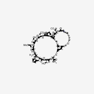 CSCC[C@@H]1NC(=O)[C@H](CO)NC(=O)[C@H](CC(=O)O)NC(=O)[C@@H]2CCCN2C(=O)[C@@H]2CSCc3cc(cc(c3)OCCCCCCO/N=C/C(=O)N[C@@H](CC(=O)O)C(=O)N2)CSC[C@@H](C(N)=O)NC(=O)[C@H](CO)NC(=O)[C@H](Cc2cnc[nH]2)NC(=O)[C@H](C)NC1=O